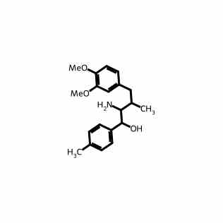 COc1ccc(CC(C)C(N)C(O)c2ccc(C)cc2)cc1OC